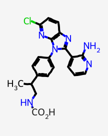 CC(CNC(=O)O)c1ccc(-n2c(-c3cccnc3N)nc3ccc(Cl)nc32)cc1